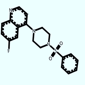 O=S(=O)(c1ccccc1)N1CCN(c2[c]cnc3ccc(F)cc23)CC1